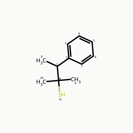 CC(c1ccccc1)C(C)(C)S